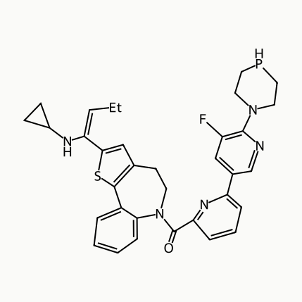 CC/C=C(/NC1CC1)c1cc2c(s1)-c1ccccc1N(C(=O)c1cccc(-c3cnc(N4CCPCC4)c(F)c3)n1)CC2